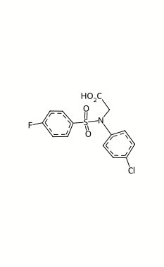 O=C(O)CN(c1ccc(Cl)cc1)S(=O)(=O)c1ccc(F)cc1